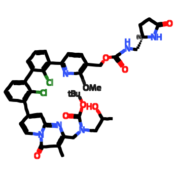 COc1nc(-c2cccc(-c3cccc(-c4ccn5c(=O)c(C)c(CN(CC(C)O)C(=O)OC(C)(C)C)nc5c4)c3Cl)c2Cl)ccc1COC(=O)NC[C@@H]1CCC(=O)N1